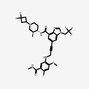 CNC(=O)c1cc(NCC#Cc2cc(C(=O)N[C@H]3CCN(C4CC(F)(F)C4)C[C@@H]3C)c3ncn(CC(F)(F)F)c3c2)c(OC)cc1F